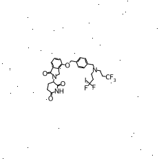 O=C1CCC(N2Cc3c(OCc4ccc(CN(CCC(F)(F)F)CCC(F)(F)I)cc4)cccc3C2=O)C(=O)N1